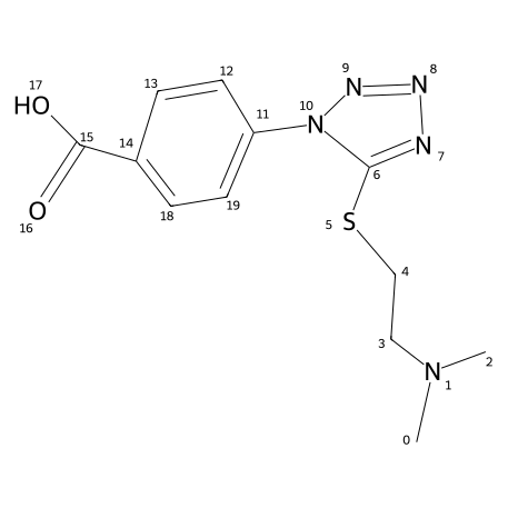 CN(C)CCSc1nnnn1-c1ccc(C(=O)O)cc1